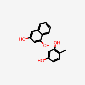 Cc1ccc(O)cc1O.Oc1cc(O)c2ccccc2c1